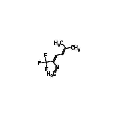 C=N/C(=C\C=C(C)C)C(F)(F)F